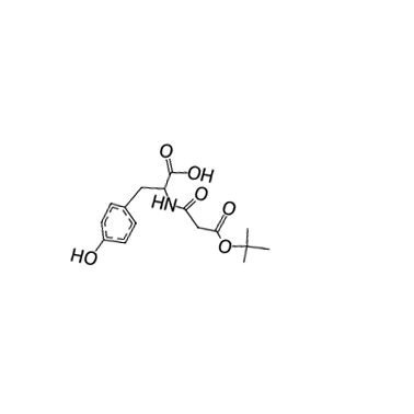 CC(C)(C)OC(=O)CC(=O)NC(Cc1ccc(O)cc1)C(=O)O